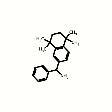 CC1(C)CCC(C)(C)c2cc(C(N)c3ccccc3)ccc21